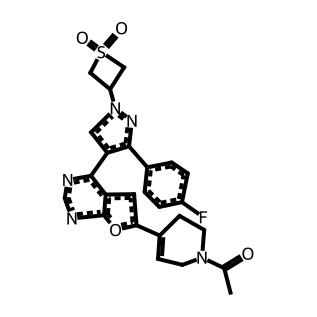 CC(=O)N1CC=C(c2cc3c(-c4cn(C5CS(=O)(=O)C5)nc4-c4ccc(F)cc4)ncnc3o2)CC1